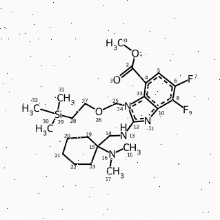 COC(=O)c1cc(F)c(F)c2nc(NCC3(N(C)C)CCCCC3)n(COCC[Si](C)(C)C)c12